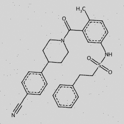 Cc1ccc(NS(=O)(=O)CCc2ccccc2)cc1C(=O)N1CCC(c2ccc(C#N)cc2)CC1